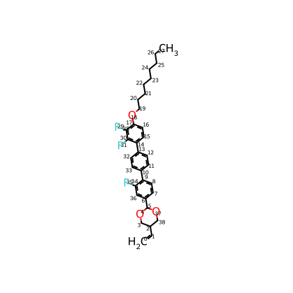 C=CC1COC(c2ccc(-c3ccc(-c4ccc(OCCCCCCCCC)c(F)c4F)cc3)c(F)c2)OC1